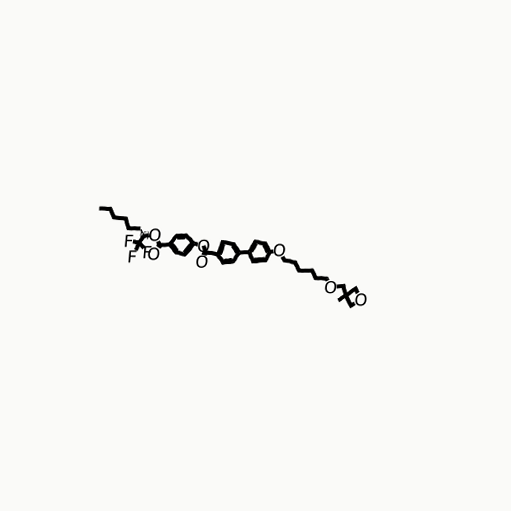 CCCCCC[C@H](OC(=O)c1ccc(OC(=O)c2ccc(-c3ccc(OCCCCCCOCC4(C)COC4)cc3)cc2)cc1)C(F)(F)F